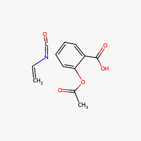 C=CN=C=O.CC(=O)Oc1ccccc1C(=O)O